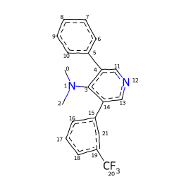 CN(C)c1c(-c2ccccc2)cncc1-c1cccc(C(F)(F)F)c1